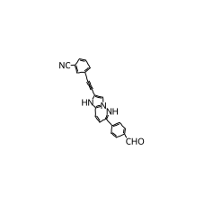 N#Cc1cccc(C#Cc2cnc(/C=C\C(=N)c3ccc(C=O)cc3)[nH]2)c1